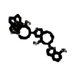 C\C1=c2/c[n+](\C3=C/C=c4/cnnc/c4=C(\C)CC3)cc/c2=N/C=C\CC(c2cc3/c(cn2)=C\N=C/CC([n+]2ccc4cccc(C)c4n2)C\C=3C)C1